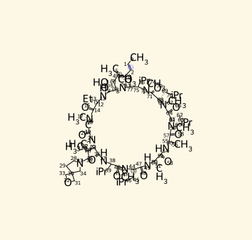 C/C=C/C[C@@H](C)[C@@H](O)[C@H]1C(=O)N[C@@H](CC)C(=O)N(C)CC(=O)N(C)[C@@H]([C@H](C)CN2CCC3(COC3)C2)C(=O)NC(C(C)C)C(=O)N(C)[C@@H](CC(C)C)C(=O)N[C@@H](C)C(=O)N[C@H](C)C(=O)N(C)[C@@H](CC(C)C)C(=O)N(C)[C@@H](CC(C)C)C(=O)N(C)C(C(C)C)C(=O)N1C